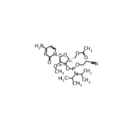 CO[C@@H]1[C@H](OP(OCCC#N)N(C(C)C)C(C)C)[C@@H](COC(C)=O)O[C@H]1n1ccc(N)nc1=O